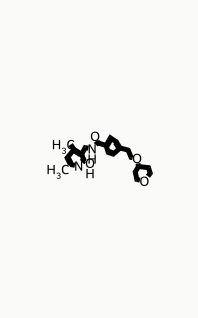 Cc1cc(C)c(CNC(=O)c2ccc(CCOC3CCOCC3)cc2)c(O)n1